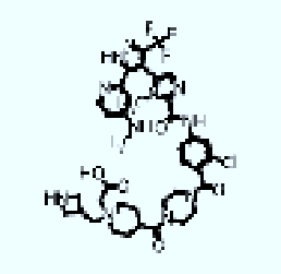 CNc1ccnc(-c2[nH]nc(C(F)(F)F)c2-c2cnc(C(=O)Nc3ccc(C(=O)N4CCN(C(=O)C5CC[N+](CC(=O)O)(CC6CNC6)CC5)CC4)c(Cl)c3)n2C)c1